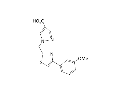 COc1cccc(-c2csc(Cn3cc(C(=O)O)cn3)n2)c1